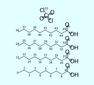 CCCCCCCCCC(=O)O.CCCCCCCCCC(=O)O.CCCCCCCCCC(=O)O.CCCCCCCCCC(=O)O.[O]=[Cr](=[O])([Cl])[Cl]